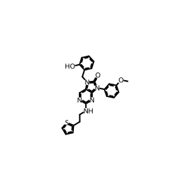 COc1cccc(-n2c(=O)n(Cc3ccccc3O)c3cnc(NCCc4cccs4)nc32)c1